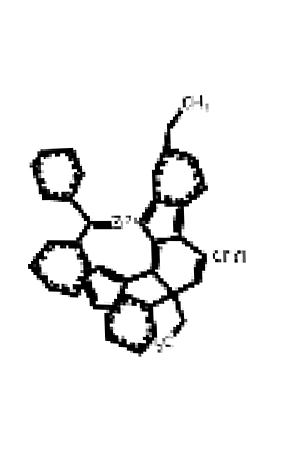 CCc1ccc2c(c1)=[C]([Zr+2]=[C](c1ccccc1)c1ccccc1)C1=C(C3=CC=CC3)C(CC)(c3ccccc3)C=CC=21.[Cl-].[Cl-]